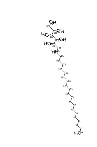 OCCCCCCCCCCCCCCCCCCCNCC(O)C(O)C(O)C(O)CO